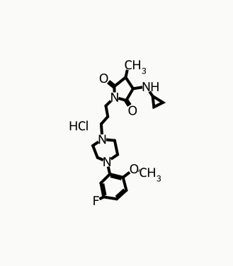 COc1ccc(F)cc1N1CCN(CCCN2C(=O)C(C)C(NC3CC3)C2=O)CC1.Cl